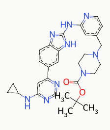 CC(C)(C)OC(=O)N1CCN(Cc2ccnc(Nc3nc4ccc(-c5cc(NC6CC6)ncn5)cc4[nH]3)c2)CC1